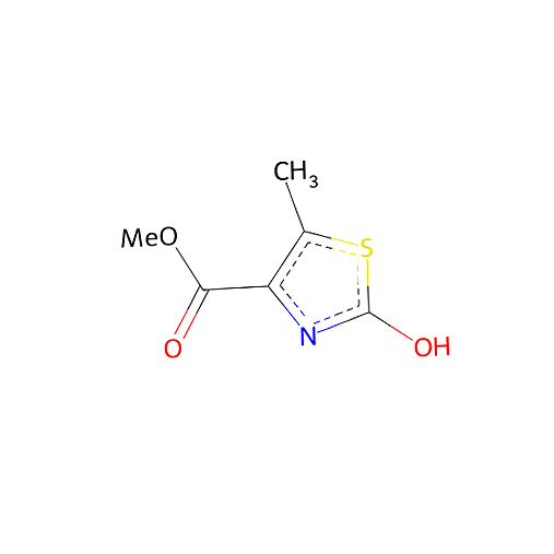 COC(=O)c1nc(O)sc1C